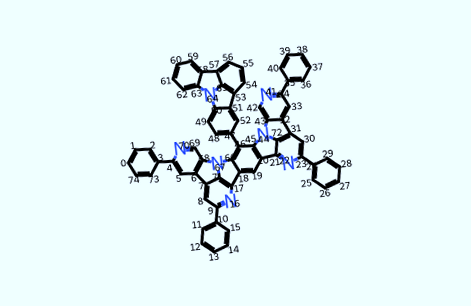 c1ccc(-c2cc3c4cc(-c5ccccc5)nc5c6cc7c8nc(-c9ccccc9)cc9c%10cc(-c%11ccccc%11)ncc%10n(c7c(-c7ccc%10c(c7)c7cccc%11c%12ccccc%12n%10c%117)c6n(c3cn2)c45)c98)cc1